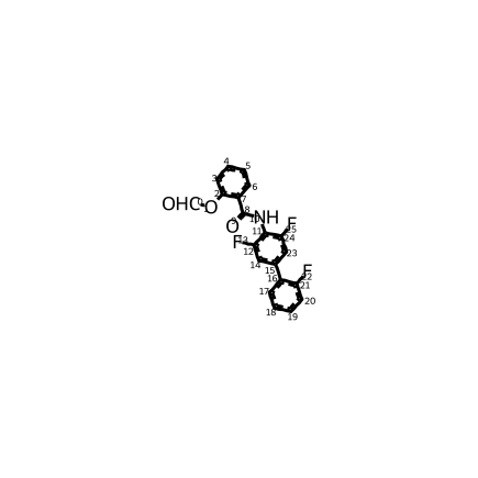 O=COc1ccccc1C(=O)Nc1c(F)cc(-c2ccccc2F)cc1F